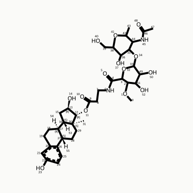 COC1C(C(=O)NCCC(=O)O[C@H]2[C@H](O)C[C@H]3[C@@H]4CCc5cc(O)ccc5[C@H]4CC[C@@]32C)OC(OC2C(O)C(CO)OC(C)C2NC(C)=O)C(O)C1O